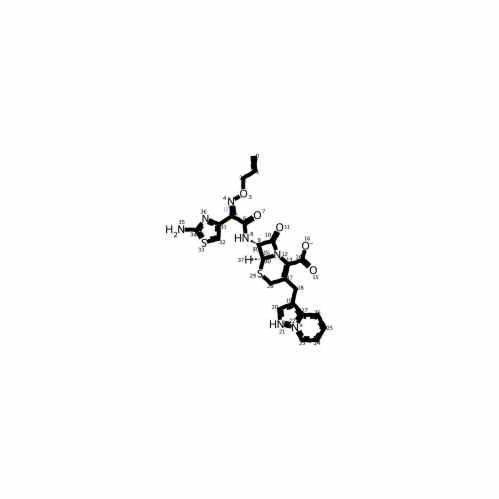 C=CCO/N=C(\C(=O)N[C@@H]1C(=O)N2C(C(=O)[O-])=C(Cc3c[nH][n+]4ccccc34)CS[C@@H]12)c1csc(N)n1